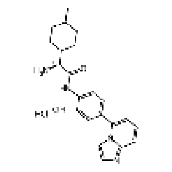 CC1CCC([C@H](N)C(=O)Nc2ccc(-c3cccc4nccn34)cc2)CC1.Cl.Cl